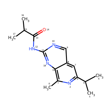 Cc1nc(C(C)C)cc2cnc(NC(=O)C(C)C)nc12